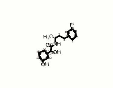 C[C@H](CCc1cccc(F)c1)NC(=O)C(O)c1cccc(O)c1